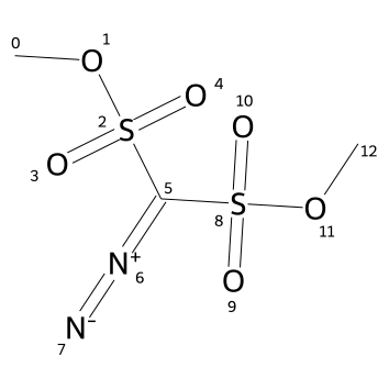 COS(=O)(=O)C(=[N+]=[N-])S(=O)(=O)OC